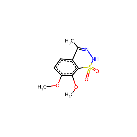 COc1ccc2c(c1OC)S(=O)(=O)NN=C2C